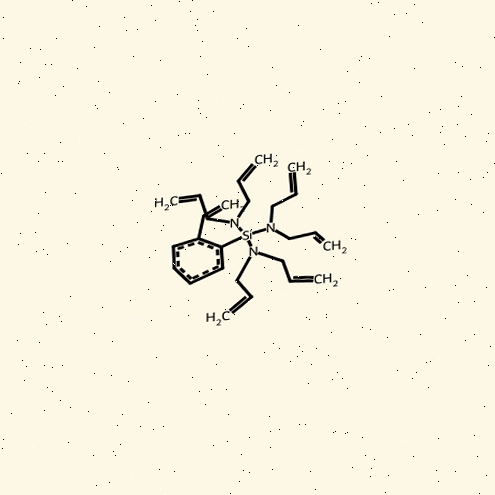 C=CCN(CC=C)[Si](c1ccccc1C=C)(N(CC=C)CC=C)N(CC=C)CC=C